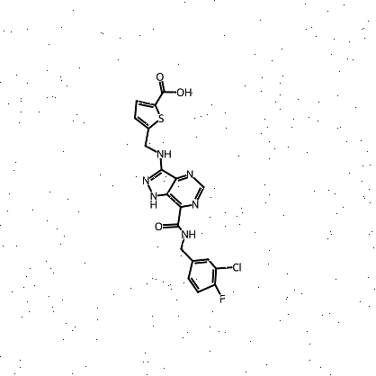 O=C(O)c1ccc(CNc2n[nH]c3c(C(=O)NCc4ccc(F)c(Cl)c4)ncnc23)s1